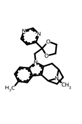 Cc1ccc2c(c1)c1c(n2CC2(c3ccncn3)OCCO2)CC2CCC1N2C